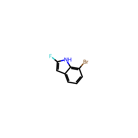 Fc1cc2cccc(Br)c2[nH]1